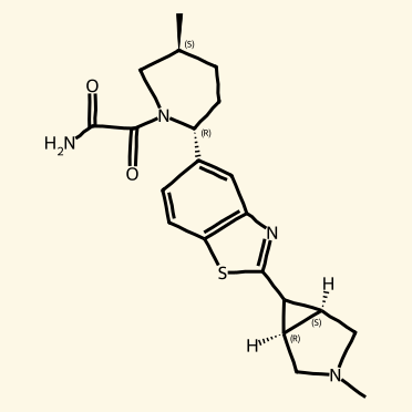 C[C@H]1CC[C@H](c2ccc3sc(C4[C@H]5CN(C)C[C@@H]45)nc3c2)N(C(=O)C(N)=O)C1